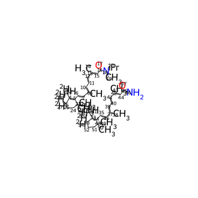 [2H]C([2H])([2H])C1=C(C=CC(C)=CC=CC(C)=CC(=O)N(C)C(C)C)C(C)(C)CCC1([2H])[2H].[2H]C([2H])([2H])C1=C(C=CC(C)=CC=CC(C)=CC(N)=O)C(C)(C)CCC1([2H])[2H]